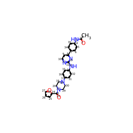 CC(=O)Nc1ccc(-c2ccnc(Nc3ccc(N4CCN(C(=O)c5ccco5)CC4)cc3)n2)cc1